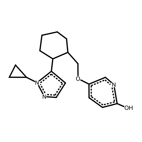 Oc1ccc(OCC2CCCCC2c2ccnn2C2CC2)cn1